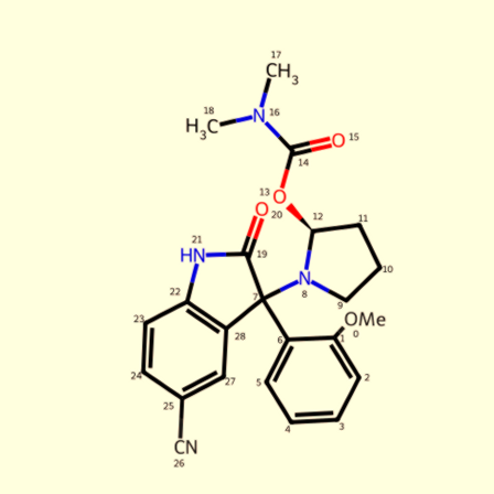 COc1ccccc1C1(N2CCC[C@@H]2OC(=O)N(C)C)C(=O)Nc2ccc(C#N)cc21